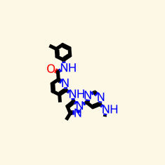 CNc1cc(-n2nc(C)cc2Nc2nc(C(=O)Nc3cccc(C)c3)ccc2C)ncn1